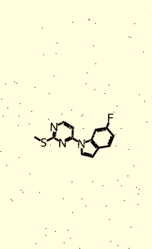 CSc1nccc(-n2ccc3ccc(F)cc32)n1